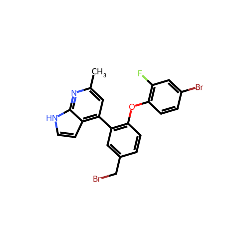 Cc1cc(-c2cc(CBr)ccc2Oc2ccc(Br)cc2F)c2cc[nH]c2n1